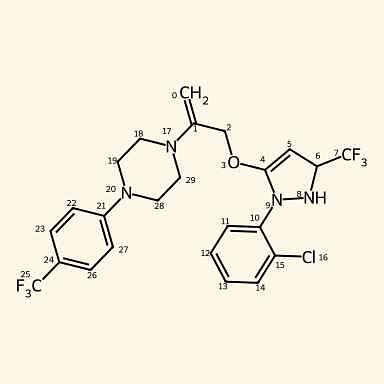 C=C(COC1=CC(C(F)(F)F)NN1c1ccccc1Cl)N1CCN(c2ccc(C(F)(F)F)cc2)CC1